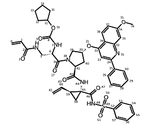 C=CC(=O)NC[C@H](NC(=O)OC1CCCC1)C(=O)N1C[C@H](Oc2cc(-c3ccccc3)nc3cc(OC)ccc23)C[C@H]1C(=O)N[C@]1(C(=O)NS(=O)(=O)c2ccccc2)C[C@H]1C=C